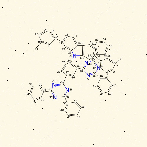 Cc1cccc(-c2ccc3c4ccc(-c5cccc(C)c5)cc4n(-c4ccc(-c5nc(-c6ccccc6)nc(-c6ccccc6)n5)cc4-c4nc(-c5ccccc5)nc(-c5ccccc5)n4)c3c2)c1